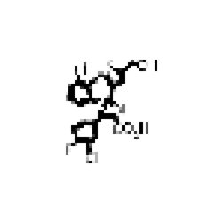 O=C(O)c1nc(-c2csc(CO)c2)n(-c2cccc(Cl)c2F)c1-c1ccc(F)c(Cl)c1